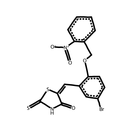 O=C1NC(=S)S/C1=C/c1cc(Br)ccc1OCc1ccccc1[N+](=O)[O-]